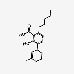 CCCCCc1ccc([C@@H]2C=C(C)CCC2)c(O)c1C(=O)O